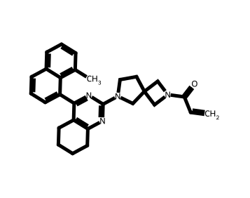 C=CC(=O)N1CC2(CCN(c3nc4c(c(-c5cccc6cccc(C)c56)n3)CCCC4)C2)C1